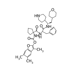 Cc1cc2oc(OC(=O)NC3(C(=O)NC(Cc4ccccc4)C(=O)N[C@H](CC4CCOCC4)C4CCNCC4)CCCC3)c(C)c2cc1C